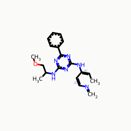 C=N/C=C\C(=C/C)Nc1nc(NC(C)COC)nc(-c2ccccc2)n1